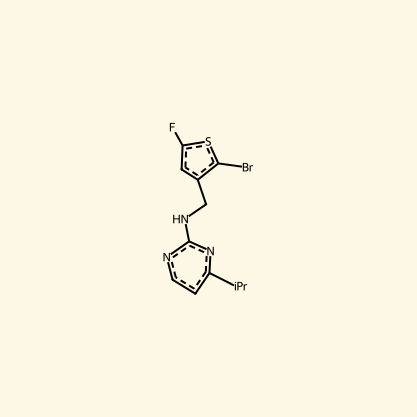 CC(C)c1ccnc(NCc2cc(F)sc2Br)n1